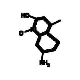 Cc1cc(O)[n+]([O-])c2cc(N)ccc12